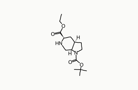 CCOC(=O)[C@H]1C[C@H]2CCN(C(=O)OC(C)(C)C)[C@H]2CN1